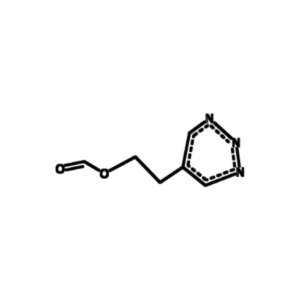 O=COCCc1cnnnc1